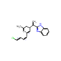 C=C(C)CC(/C=C/C=C\C=C\Cl)C(=C)c1nc2ccccc2[nH]1